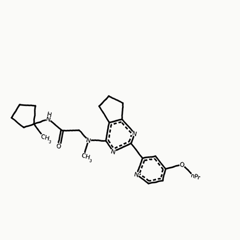 CCCOc1ccnc(-c2nc3c(c(N(C)CC(=O)NC4(C)CCCC4)n2)CCC3)c1